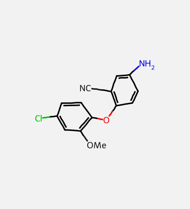 COc1cc(Cl)ccc1Oc1ccc(N)cc1C#N